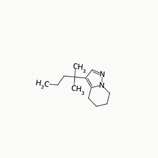 CCCC(C)(C)c1cnn2c1CCCC2